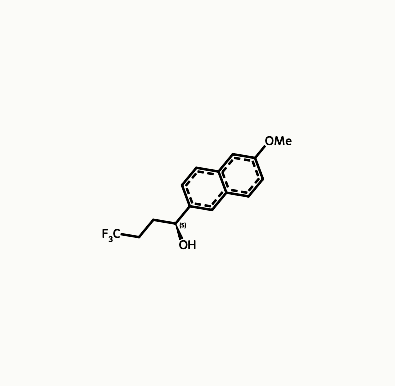 COc1ccc2cc([C@@H](O)CCC(F)(F)F)ccc2c1